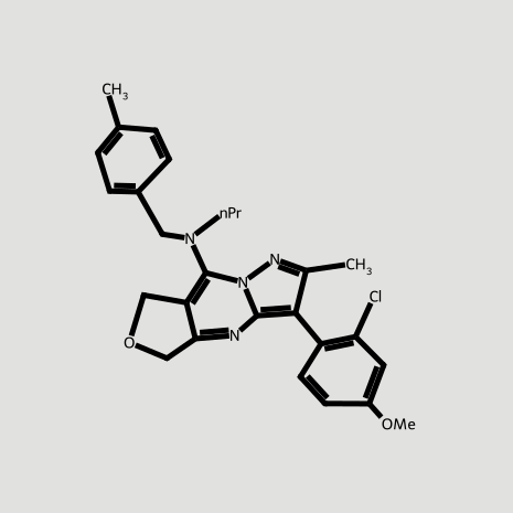 CCCN(Cc1ccc(C)cc1)c1c2c(nc3c(-c4ccc(OC)cc4Cl)c(C)nn13)COC2